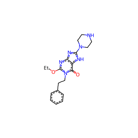 CCOc1nc2nc(N3CCNCC3)[nH]c2c(=O)n1CCc1ccccc1